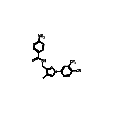 Cc1cn(-c2ccc(C#N)c(C(F)(F)F)c2)nc1CNC(=O)c1ccc([N+](=O)[O-])cc1